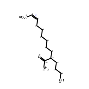 CCCCCCCC/C=C\CCCCCCC(CCCO)C(N)=O